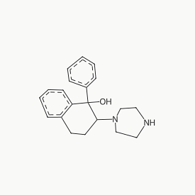 OC1(c2ccccc2)c2ccccc2CCC1N1CCNCC1